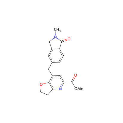 COC(=O)c1cc(Cc2ccc3c(c2)CN(C)C3=O)c2c(n1)CCO2